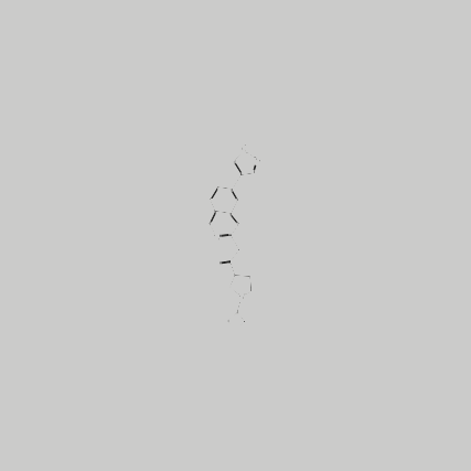 Cn1cc(-c2ccc3cnc(CC(=O)C4CCN(C5COC5)C4)cc3c2)cn1